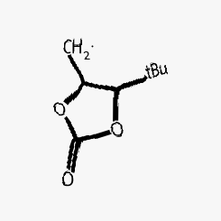 [CH2]C1OC(=O)OC1C(C)(C)C